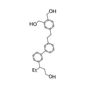 CCC(CCO)c1cccc(-c2cccc(CCc3ccc(CO)c(CO)c3)c2)c1